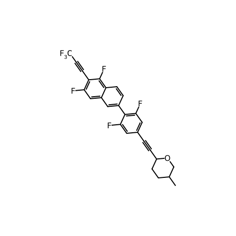 CC1CCC(C#Cc2cc(F)c(-c3ccc4c(F)c(C#CC(F)(F)F)c(F)cc4c3)c(F)c2)OC1